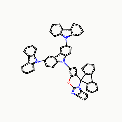 c1ccc2c(c1)-c1ccccc1C21c2ccc(-n3c4ccc(-n5c6ccccc6c6ccccc65)cc4c4cc(-n5c6ccccc6c6ccccc65)ccc43)cc2Oc2nc3ccccc3n21